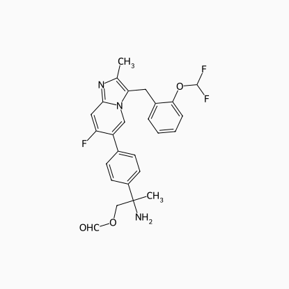 Cc1nc2cc(F)c(-c3ccc(C(C)(N)COC=O)cc3)cn2c1Cc1ccccc1OC(F)F